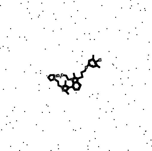 Cc1cc(OCCCc2c(C)n(CCC(=O)O)c3c(-c4c(C)nn(CCN5CCCC5)c4C)cccc23)cc(C)c1Cl